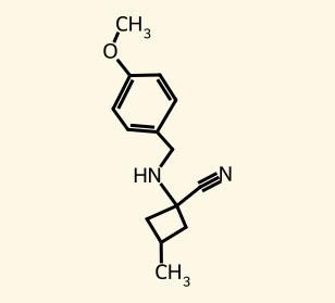 COc1ccc(CNC2(C#N)CC(C)C2)cc1